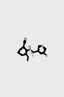 CCc1cccc(C#N)c1N[C@@H](C)c1cncc(F)c1